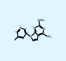 CNc1nc(N)c2ccn(-c3cncc(C)c3)c2n1